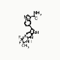 C[C@@H](Nc1ncc2c(-c3ccn4ncc(C(N)=O)c4c3)c[nH]c2n1)C(F)(F)F